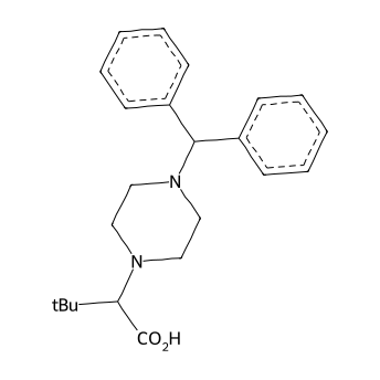 CC(C)(C)C(C(=O)O)N1CCN(C(c2ccccc2)c2ccccc2)CC1